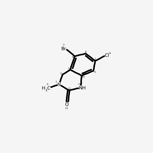 CN1Cc2c(Br)cc(Cl)cc2NC1=O